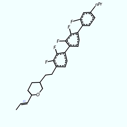 C/C=C/C1CCC(CCc2ccc(-c3ccc(-c4ccc(CCC)cc4F)c(F)c3F)c(F)c2F)CO1